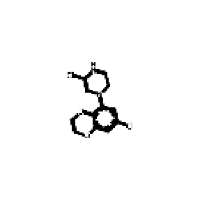 Clc1cc2c(c(N3CCNC(Cl)C3)c1)OCCO2